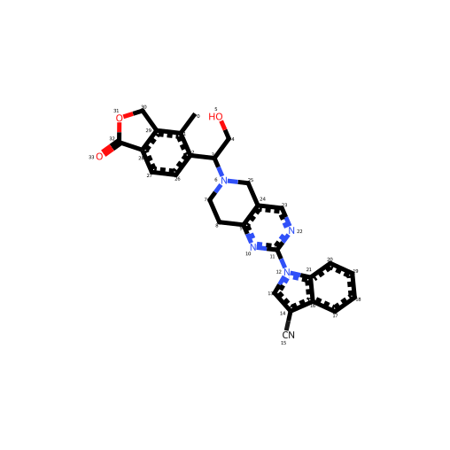 Cc1c(C(CO)N2CCc3nc(-n4cc(C#N)c5ccccc54)ncc3C2)ccc2c1COC2=O